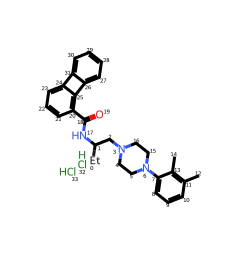 CCC(CN1CCN(c2cccc(C)c2C)CC1)NC(=O)c1cccc2c1-c1ccccc1-2.Cl.Cl